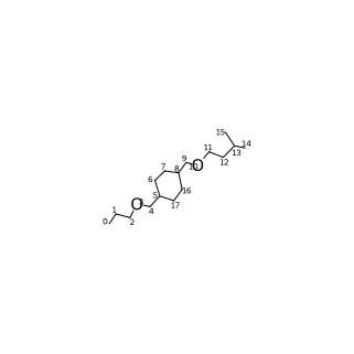 CCCOCC1CCC(COCCC(C)C)CC1